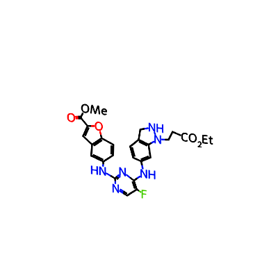 CCOC(=O)CCN1NCc2ccc(Nc3nc(Nc4ccc5oc(C(=O)OC)cc5c4)ncc3F)cc21